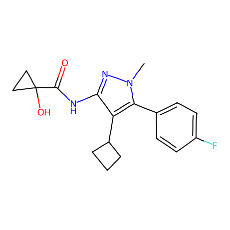 Cn1nc(NC(=O)C2(O)CC2)c(C2CCC2)c1-c1ccc(F)cc1